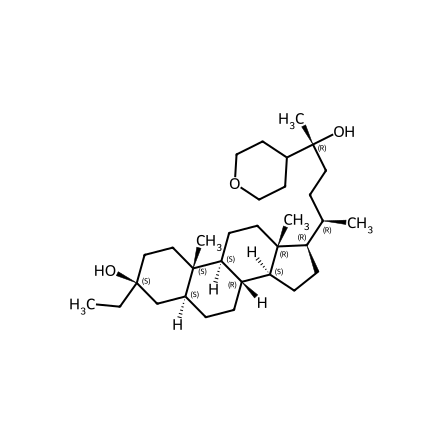 CC[C@]1(O)CC[C@@]2(C)[C@@H](CC[C@@H]3[C@@H]2CC[C@]2(C)[C@@H]([C@H](C)CC[C@@](C)(O)C4CCOCC4)CC[C@@H]32)C1